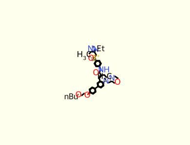 CCCCOCCOc1ccc(-c2ccc3c(c2)C=C(C(=O)Nc2ccc([S@+]([O-])Cc4c(C)ncn4CC)cc2)CCN3CC2COCCN2C)cc1